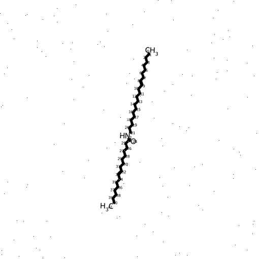 CCCCCCCCC=CCCCCCCCCCCCCNC(=O)CCCCCCCC=CCCCCCCCC